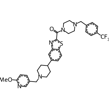 COc1ccc(CN2CCC(c3ccc4sc(C(=O)N5CCN(Cc6ccc(C(F)(F)F)cc6)CC5)nc4c3)CC2)cn1